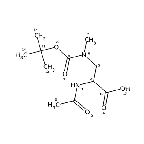 CC(=O)NC(CN(C)C(=O)OC(C)(C)C)C(=O)O